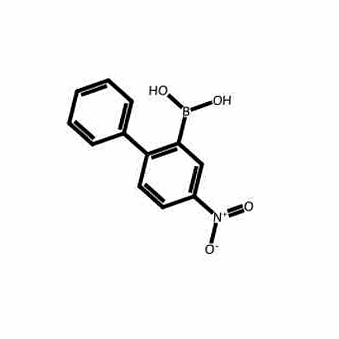 O=[N+]([O-])c1ccc(-c2ccccc2)c(B(O)O)c1